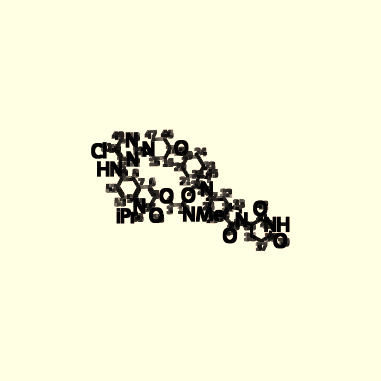 CNC(=O)COc1cc2cc(Nc3nc(N4CCC(OC5CCC6(CC5)CN(c5ccc7c(c5)CN(C5CCC(=O)NC5=O)C7=O)C6)CC4)ncc3Cl)ccc2n(C(C)C)c1=O